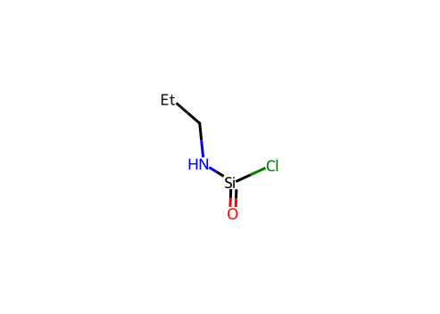 CCCN[Si](=O)Cl